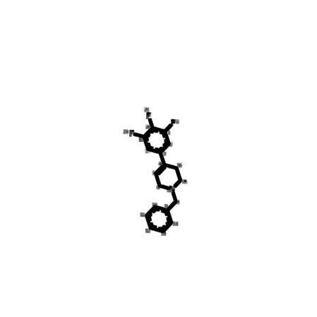 Fc1cc(C2=CCN(Cc3ccccc3)CC2)cc(F)c1F